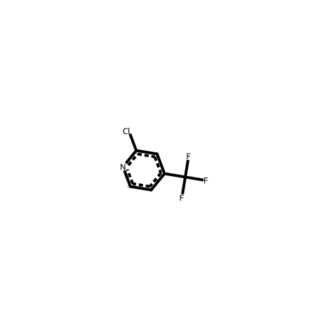 FC(F)(F)c1c[c]nc(Cl)c1